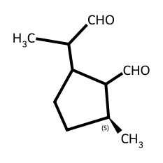 CC(C=O)C1CC[C@H](C)C1C=O